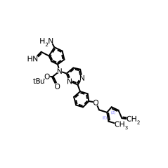 C=C/C=C\C(=C/C)COc1cccc(-c2nccc(N(C(=O)OC(C)(C)C)c3ccc(N)c(C=N)c3)n2)c1